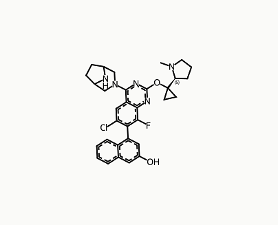 CN1CCC[C@H]1C1(Oc2nc(N3CC4CCC(C3)N4)c3cc(Cl)c(-c4cc(O)cc5ccccc45)c(F)c3n2)CC1